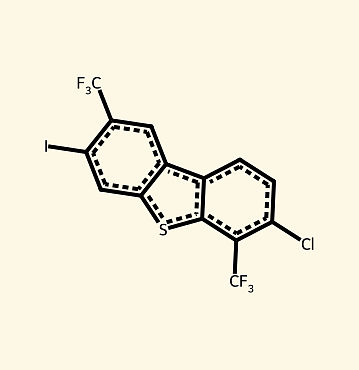 FC(F)(F)c1cc2c(cc1I)sc1c(C(F)(F)F)c(Cl)ccc12